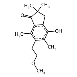 COCCc1c(C)c(O)c2c(c1C)C(=O)C(C)(C)C2